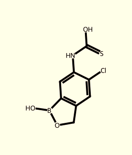 OB1OCc2cc(Cl)c(NC(O)=S)cc21